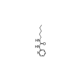 CCCCCNC(=O)Nc1ccccn1